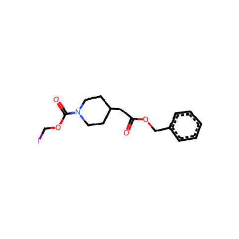 O=C(CC1CCN(C(=O)OCI)CC1)OCc1ccccc1